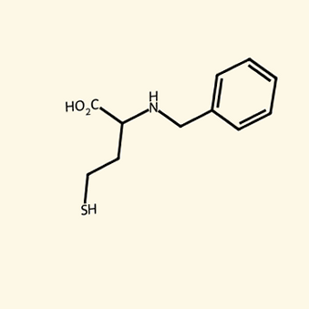 O=C(O)C(CCS)NCc1ccccc1